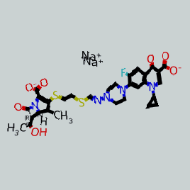 CC1C(SCCSC=NN2CCN(c3cc4c(cc3F)c(=O)c(C(=O)[O-])cn4C3CC3)CC2)=C(C(=O)[O-])N2C(=O)[C@@H]([C@@H](C)O)[C@H]12.[Na+].[Na+]